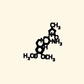 COc1cc2c(cc1OC)[C@H]1C[C@@H](N)[C@H](N3CC(C)CC3=O)CN1CC2